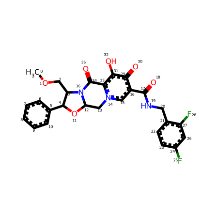 COCC1C(c2ccccc2)OC2Cn3cc(C(=O)NCc4ccc(F)cc4F)c(=O)c(O)c3C(=O)N21